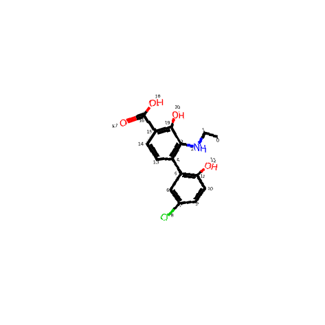 CCNc1c(-c2cc(Cl)ccc2O)ccc(C(=O)O)c1O